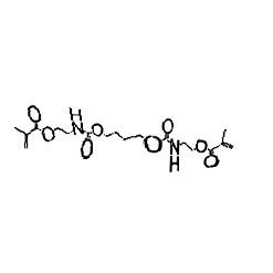 C=C(C)C(=O)OCCNC(=O)OCCCCOC(=O)NCCOC(=O)C(=C)C